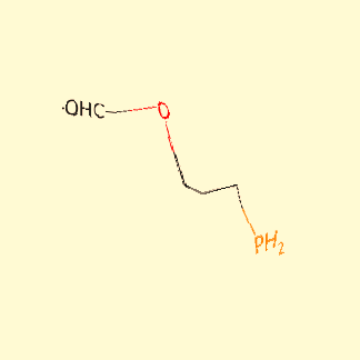 O=[C]OCCP